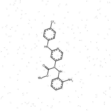 CC(C)(C)OC(=O)N(Nc1ccccc1N)c1ccnc(Nc2ccc(C(F)(F)F)cc2)c1